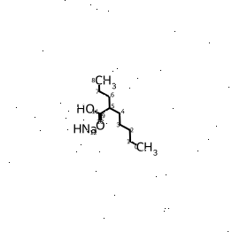 CCCCCC(CCC)C(=O)O.[NaH]